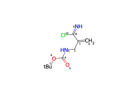 C=C(CNC(=O)OC(C)(C)C)C(=N)Cl